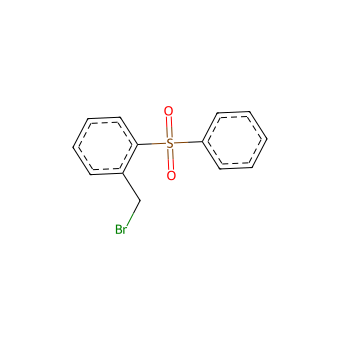 O=S(=O)(c1ccccc1)c1ccccc1CBr